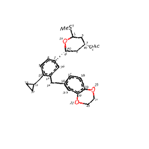 CSC1C[C@H](OC(C)=O)C[C@H](c2ccc(C3CC3)c(Cc3ccc4c(c3)OCCO4)c2)O1